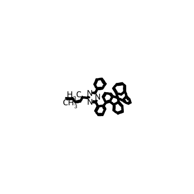 C/C=C\C=C/C(C)c1nc(-c2ccccc2)nc(-c2ccccc2-c2cccc3c2-c2ccccc2C32C3=CC=CC=C(C3)c3ccccc32)n1